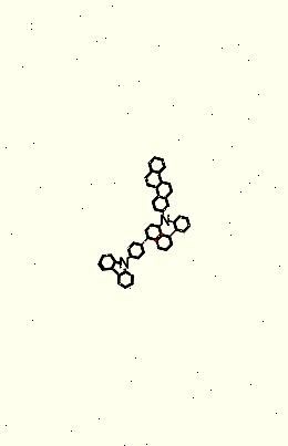 c1ccc2c(c#1)c1ccccc1n2-c1ccc(-c2ccc(N(c3ccc4c(ccc5c6ccccc6ccc45)c3)c3ccccc3-c3ccccc3)cc2)cc1